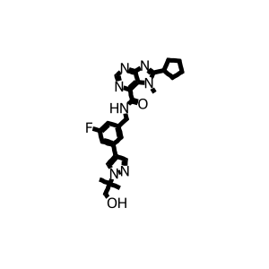 Cn1c(C2CCCC2)nc2ncnc(C(=O)NCc3cc(F)cc(-c4cnn(C(C)(C)CO)c4)c3)c21